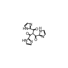 O=C(c1ncc[nH]1)C(C(=O)c1ncc[nH]1)C(=O)c1ncc[nH]1